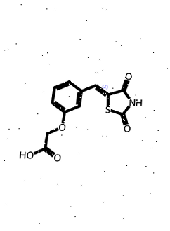 O=C(O)COc1cccc(/C=C2\SC(=O)NC2=O)c1